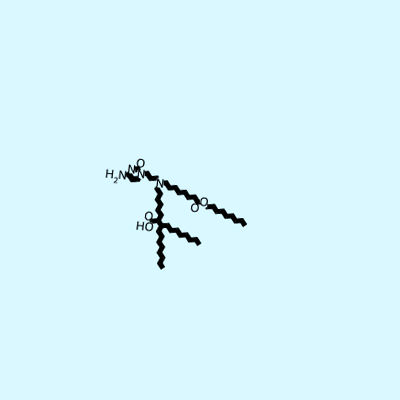 CCCCCCCCCOC(=O)CCCCCCCN(CCCCCCC(C(=O)O)C(CCCCCCCC)CCCCCCCC)CCCn1ccc(N)nc1=O